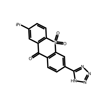 CC(C)c1ccc2c(c1)C(=O)c1ccc(-c3nnn[nH]3)cc1S2(=O)=O